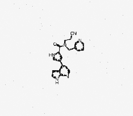 N#CCCN(Cc1cccnc1)C(=O)c1cc(-c2ccnc3[nH]ccc23)c[nH]1